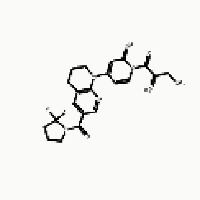 C=C(CC)C(=O)n1ccc(N2CCCc3cc(C(=O)N4CCCC4(F)F)cnc32)cc1=N